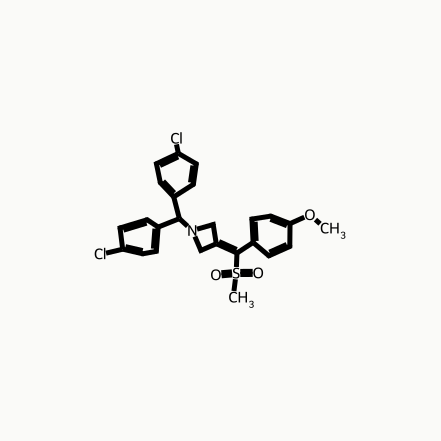 COc1ccc(C(=C2CN(C(c3ccc(Cl)cc3)c3ccc(Cl)cc3)C2)S(C)(=O)=O)cc1